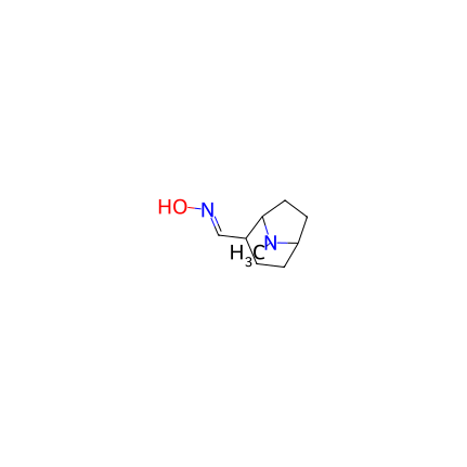 CN1C2CCC(C=NO)C1CC2